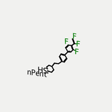 CCCCC[SiH]1CCC(CCc2ccc(-c3cc(F)c(/C(F)=C/F)c(F)c3)cc2)CC1